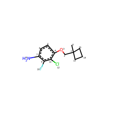 CC1(COc2ccc(N)c(F)c2Cl)CCC1